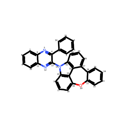 c1ccc(-c2nc3ccccc3nc2-n2c3cccc4oc5ccccc5c5cccc2c5c43)cc1